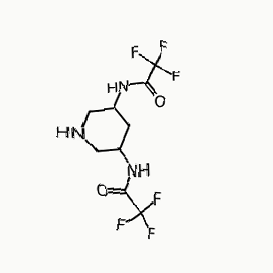 O=C(NC1CNCC(NC(=O)C(F)(F)F)C1)C(F)(F)F